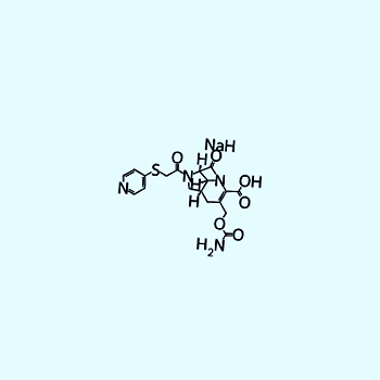 NC(=O)OCC1=C(C(=O)O)N2C(=O)[C@@H]3[C@H]2[C@H](C1)CN3C(=O)CSc1ccncc1.[NaH]